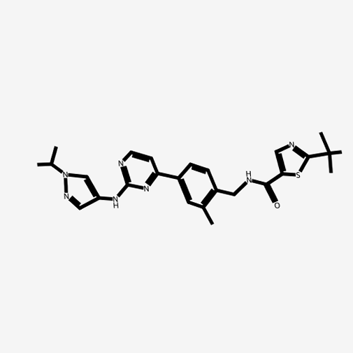 Cc1cc(-c2ccnc(Nc3cnn(C(C)C)c3)n2)ccc1CNC(=O)c1cnc(C(C)(C)C)s1